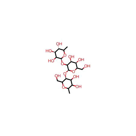 CC1OC(CO)[C@@H](O[C@@H]2OC(CO)[C@H](O)[C@H](O)C2O[C@@H]2OC(C)[C@@H](O)[C@H](O)C2O)C(O)C1O